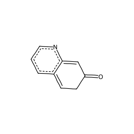 O=C1C=c2ncccc2=CC1